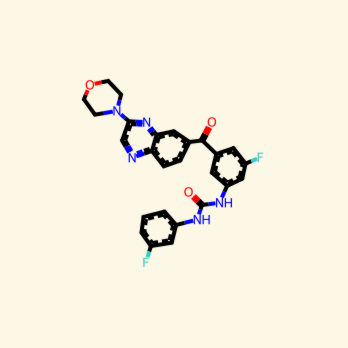 O=C(Nc1cccc(F)c1)Nc1cc(F)cc(C(=O)c2ccc3ncc(N4CCOCC4)nc3c2)c1